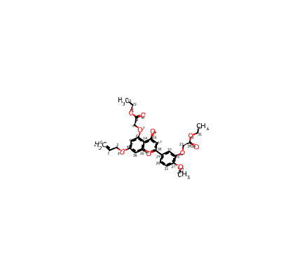 C=CCOc1cc(OCC(=O)OCC)c2c(=O)cc(-c3ccc(OC)c(OCC(=O)OCC)c3)oc2c1